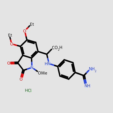 CCOc1cc(C(Nc2ccc(C(=N)N)cc2)C(=O)O)c2c(c1OCC)C(=O)C(=O)N2OC.Cl